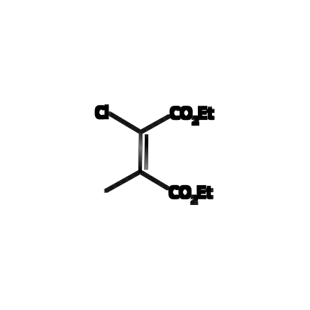 CCOC(=O)/C(C)=C(/Cl)C(=O)OCC